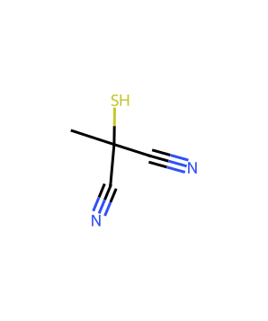 CC(S)(C#N)C#N